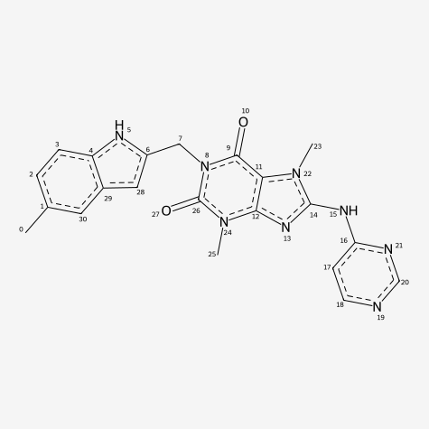 Cc1ccc2[nH]c(Cn3c(=O)c4c(nc(Nc5ccncn5)n4C)n(C)c3=O)cc2c1